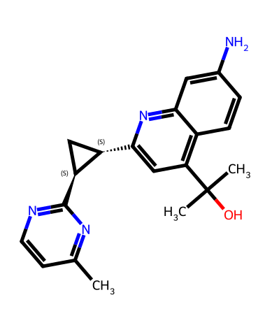 Cc1ccnc([C@H]2C[C@@H]2c2cc(C(C)(C)O)c3ccc(N)cc3n2)n1